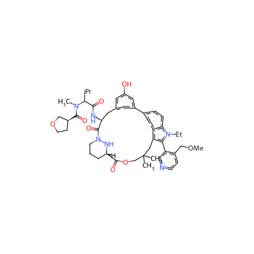 CCn1c(-c2cnccc2COC)c2c3cc(ccc31)-c1cc(O)cc(c1)C[C@H](NC(=O)C(C(C)C)N(C)C(=O)[C@H]1CCOC1)C(=O)N1CCC[C@H](N1)C(=O)OCC(C)(C)C2